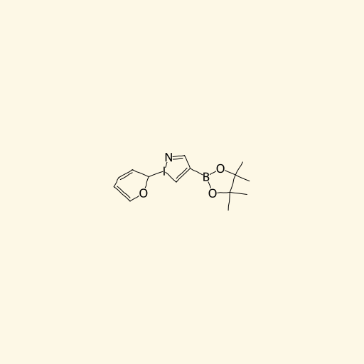 CC1(C)OB(C2=CI(C3C=CC=CO3)N=C2)OC1(C)C